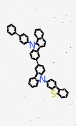 c1ccc(-c2ccc(-n3c4ccc(-c5ccc6c(c5)c5ccccc5n6-c5ccc6c(c5)sc5ccccc56)cc4c4ccc5ccccc5c43)cc2)cc1